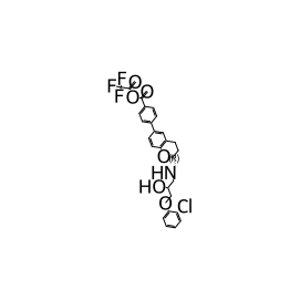 O=C(OC(=O)C(F)(F)F)c1ccc(-c2ccc3c(c2)CC[C@H](CNCC(O)COc2ccccc2Cl)O3)cc1